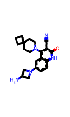 N#Cc1c(N2CCC3(CCC3)CC2)c2cc(N3CC(N)C3)ccc2[nH]c1=O